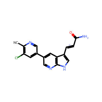 N#Cc1ncc(-c2cnc3[nH]cc(/C=C/C(N)=O)c3c2)cc1Cl